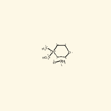 CCO.C[N+]1(S(=O)(=O)O)CCOCC1